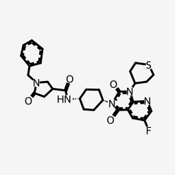 O=C(N[C@H]1CC[C@@H](n2c(=O)c3cc(F)cnc3n(C3CCSCC3)c2=O)CC1)C1CC(=O)N(Cc2ccccc2)C1